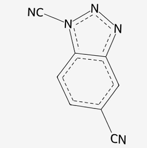 N#Cc1ccc2c(c1)nnn2C#N